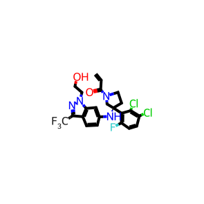 C=CC(=O)N1CC[C@@](Nc2ccc3c(C(F)(F)F)nn(CCO)c3c2)(c2c(F)ccc(Cl)c2Cl)C1